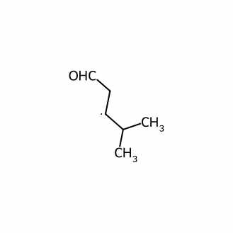 CC(C)[CH]CC=O